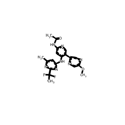 COc1cnc(-c2cnc(NC(C)=O)cc2Nc2cc(C)nc(C(C)(F)F)n2)cn1